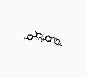 Cc1cnc(N(C)c2ccc(CN3CCN(C)CC3)cc2)nc1-c1ccc(F)cc1